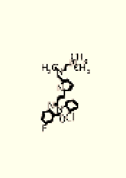 CN(C)CCN(C)Cc1cccc(C=Cc2nc3ccc(F)cc3c(=O)n2-c2ccccc2Cl)n1